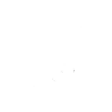 O=C(O)Cc1nc(NC(=O)C(O[C@H]2CCOC2)c2ccc(S(=O)(=O)C3CC3)cc2)sc1Cl